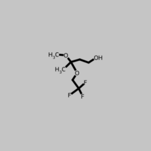 COC(C)(CCO)OCC(F)(F)F